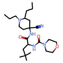 CCCC1CC(C#N)(NC(=O)C(CC(C)(C)C)NC(=O)N2CCOCC2)CCN1CCC